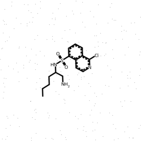 CCCCC(CN)NS(=O)(=O)c1cccc2c(Cl)nccc12